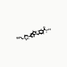 CC(C)(C)CCN1CCN(c2cnc3c(ccn3Cc3ccc(C(=O)NO)cc3)c2)CC1